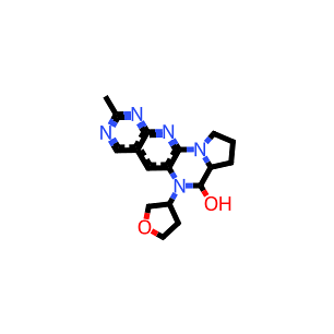 Cc1ncc2cc3c(nc2n1)N1CCCC1C(O)N3C1CCOC1